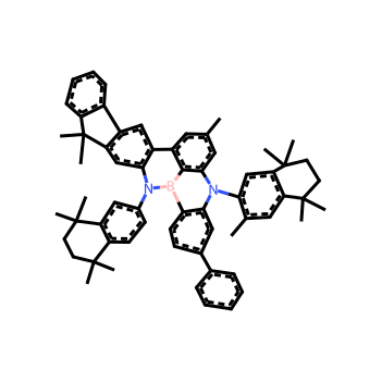 Cc1cc2c3c(c1)N(c1cc4c(cc1C)C(C)(C)CCC4(C)C)c1cc(-c4ccccc4)ccc1B3N(c1ccc3c(c1)C(C)(C)CCC3(C)C)c1cc3c(cc1-2)-c1ccccc1C3(C)C